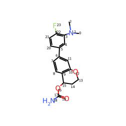 CN(C)c1cc(-c2ccc3c(c2)OCCC3OC(N)=O)ccc1F